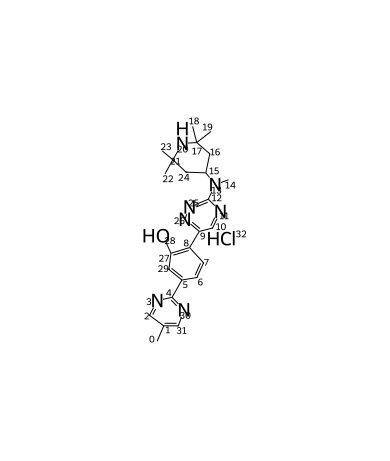 Cc1cnc(-c2ccc(-c3cnc(N(C)C4CC(C)(C)NC(C)(C)C4)nn3)c(O)c2)nc1.Cl